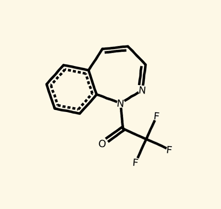 O=C(N1N=CC=Cc2ccccc21)C(F)(F)F